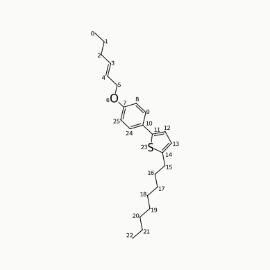 CCC/C=C/COc1ccc(-c2ccc(CCCCCCCC)s2)cc1